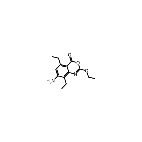 CCOc1nc2c(CC)c(N)cc(CC)c2c(=O)o1